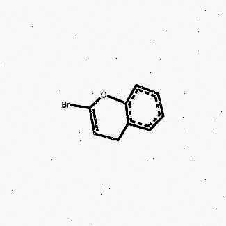 BrC1=CCc2ccccc2O1